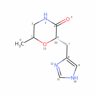 CC1CNC(=O)[C@H](Cc2c[nH]cn2)O1